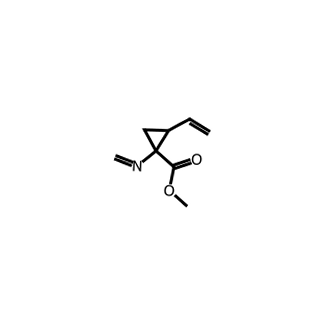 C=CC1CC1(N=C)C(=O)OC